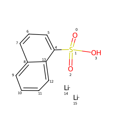 O=S(=O)(O)c1cccc2ccccc12.[Li].[Li]